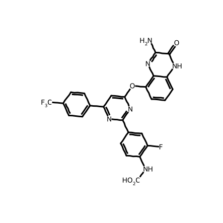 Nc1nc2c(Oc3cc(-c4ccc(C(F)(F)F)cc4)nc(-c4ccc(NC(=O)O)c(F)c4)n3)cccc2[nH]c1=O